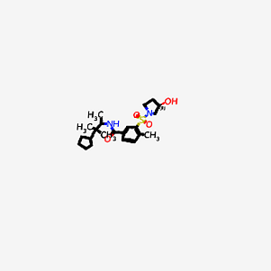 Cc1ccc(C(=O)NC(C)C(C)(C)C2CCCC2)cc1S(=O)(=O)N1CC[C@@H](O)C1